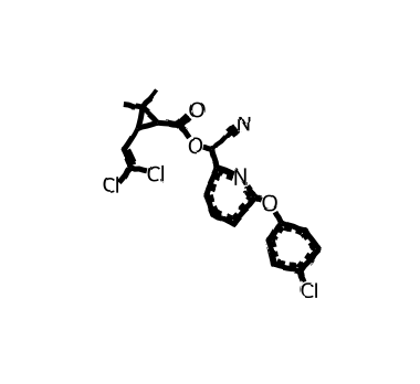 CC1(C)C(C=C(Cl)Cl)C1C(=O)OC(C#N)c1cccc(Oc2ccc(Cl)cc2)n1